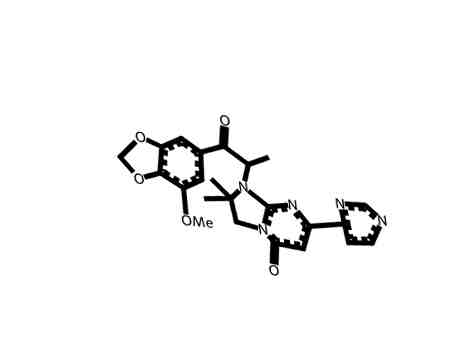 COc1cc(C(=O)C(C)N2c3nc(-c4ccncn4)cc(=O)n3CC2(C)C)cc2c1OCO2